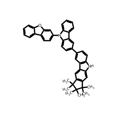 CC1(C)c2cc3[nH]c4ccc(-c5ccc6c(c5)c5ccccc5n6-c5ccc6c(c5)oc5ccccc56)cc4c3cc2C(C)(C)C1(C)C